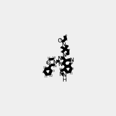 C=CC(=O)N1CC2(CCN(c3nc(N4CCOC(c5ccccc5)C4)nc(-c4c(C)ccc5[nH]ncc45)c3C#N)C2)C1